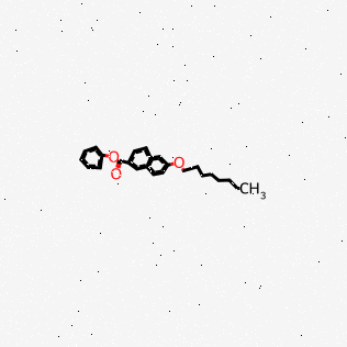 CCCCCCCCOc1ccc2cc(C(=O)Oc3ccccc3)ccc2c1